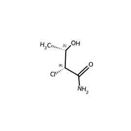 C[C@H](O)[C@@H](Cl)C(N)=O